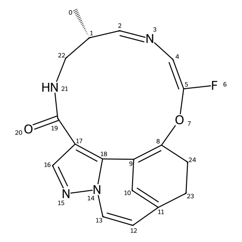 C[C@@H]1/C=N\C=C(\F)OC2=C3C=C(C=Cn4ncc(c43)C(=O)NC1)CC2